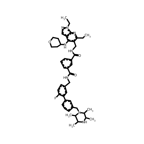 CCc1nc2c(cnn2CC)c(NC2CCOCC2)c1CNC(=O)c1cccc(C(=O)NCc2ccc(F)c(-c3cccc(CN4C(C)C(C)NC(C)C4C)c3)c2)c1